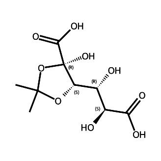 CC1(C)O[C@@H]([C@H](O)[C@H](O)C(=O)O)[C@](O)(C(=O)O)O1